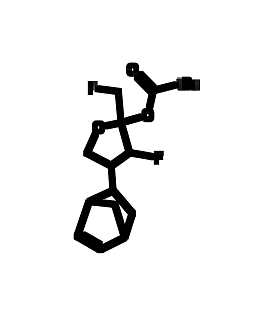 CC(C)(C)C(=O)OC1(CF)OCC(C2CC3C=CC2C3)C1F